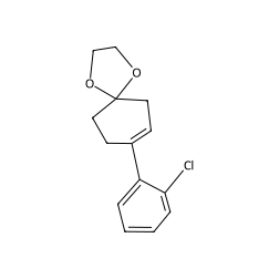 Clc1ccccc1C1=CCC2(CC1)OCCO2